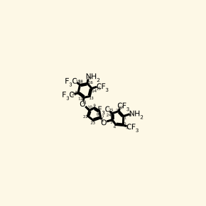 Nc1c(C(F)(F)F)cc(Oc2ccc(Oc3cc(C(F)(F)F)c(N)c(C(F)(F)F)c3C(F)(F)F)cc2)c(C(F)(F)F)c1C(F)(F)F